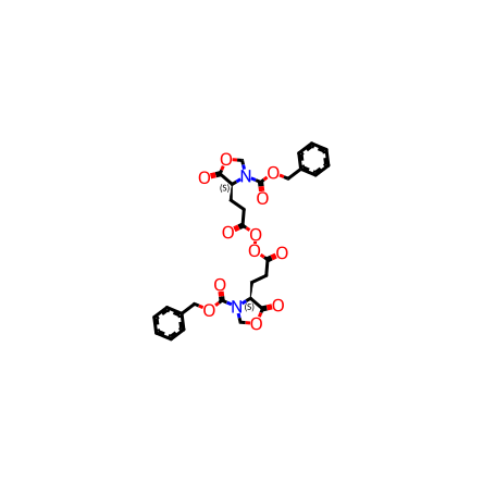 O=C(CC[C@H]1C(=O)OCN1C(=O)OCc1ccccc1)OOC(=O)CC[C@H]1C(=O)OCN1C(=O)OCc1ccccc1